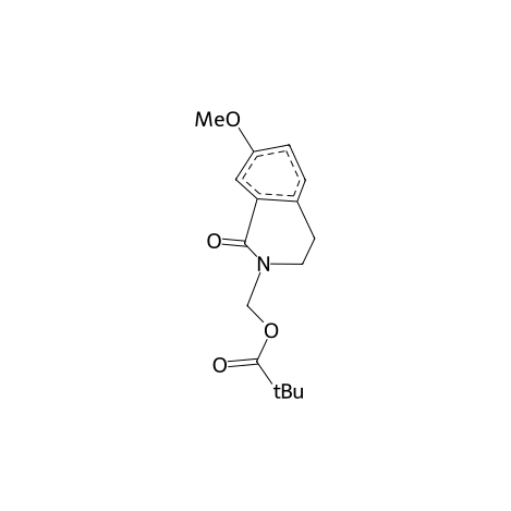 COc1ccc2c(c1)C(=O)N(COC(=O)C(C)(C)C)CC2